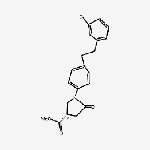 COC(=O)[C@H]1CC(=O)N(c2ccc(CCc3cccc(Cl)c3)cc2)C1